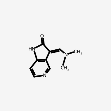 CN(C)/C=C1/C(=O)Nc2ccncc21